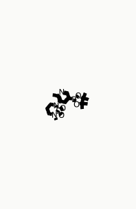 Cc1ncc(B2OC(C)(C)C(C)(C)O2)cc1N1CCCN(C)S1(=O)=O